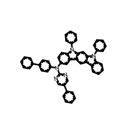 c1ccc(-c2ccc(N(c3ccc4c(c3)c3cc5c6ccccc6n(-c6ccccc6)c5cc3n4-c3ccccc3)c3ncc(-c4ccccc4)cn3)cc2)cc1